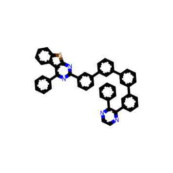 c1ccc(-c2nccnc2-c2cccc(-c3cccc(-c4cccc(-c5cccc(-c6nc(-c7ccccc7)c7c(n6)sc6ccccc67)c5)c4)c3)c2)cc1